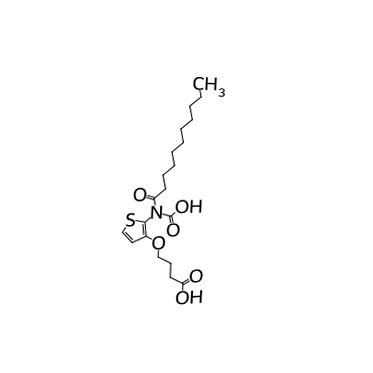 CCCCCCCCCCC(=O)N(C(=O)O)c1sccc1OCCCC(=O)O